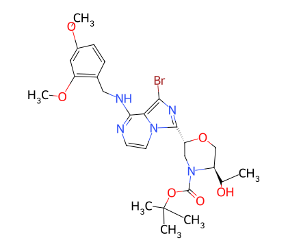 COc1ccc(CNc2nccn3c([C@H]4CN(C(=O)OC(C)(C)C)[C@H](C(C)O)CO4)nc(Br)c23)c(OC)c1